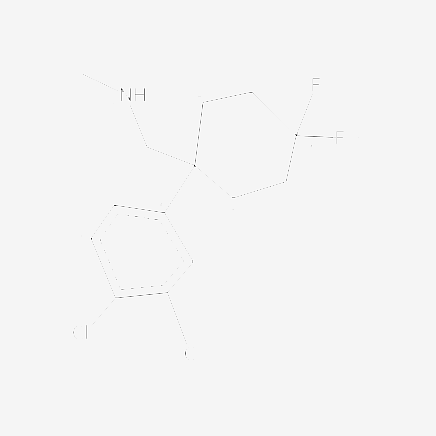 CNCC1(c2ccc(Cl)c(Cl)c2)CCC(F)(F)CC1